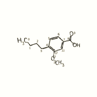 CCCCc1ccc(C(=O)O)cc1OC